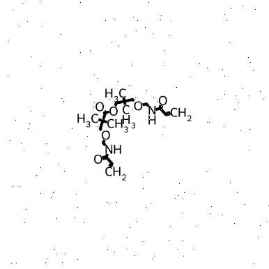 C=CC(=O)NCOCC(C)(C)COC(=O)C(C)(C)COCNC(=O)C=C